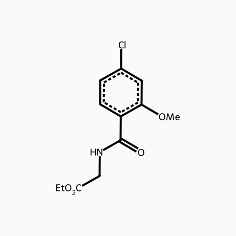 CCOC(=O)CNC(=O)c1ccc(Cl)cc1OC